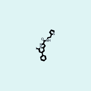 O=C(NCCc1cccs1)c1cc2cc(-c3ccccc3)cc(I)n2n1